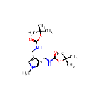 CN1C[C@@H](CNC(=O)OC(C)(C)C)[C@@H](CNC(=O)OC(C)(C)C)C1